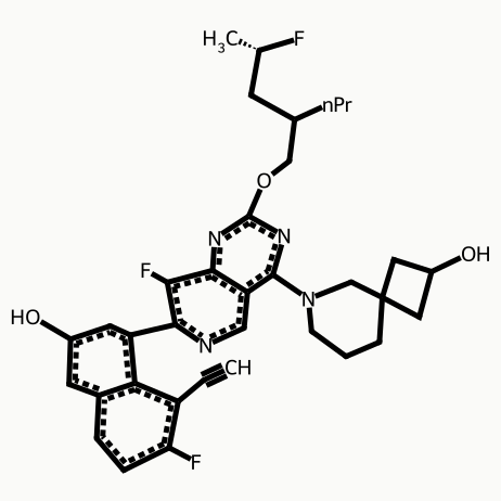 C#Cc1c(F)ccc2cc(O)cc(-c3ncc4c(N5CCCC6(CC(O)C6)C5)nc(OCC(CCC)C[C@H](C)F)nc4c3F)c12